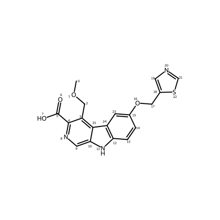 COCc1c(C(=O)O)ncc2[nH]c3ccc(OCc4cncs4)cc3c12